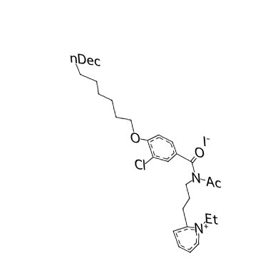 CCCCCCCCCCCCCCCCOc1ccc(C(=O)N(CCCc2cccc[n+]2CC)C(C)=O)cc1Cl.[I-]